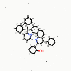 Oc1ccccc1-c1cc(-c2ccccc2)c2ccc3ccc(C4(c5ccccn5)c5ccccc5-c5ccccc54)cc3c2n1